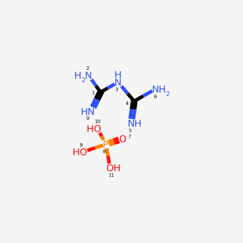 N=C(N)NC(=N)N.O=P(O)(O)O